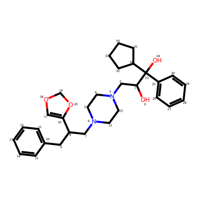 OC(CN1CCN(CC(Cc2ccccc2)C2=COCO2)CC1)C(O)(c1ccccc1)C1CCCC1